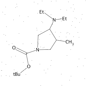 CCN(CC)C1CN(C(=O)OC(C)(C)C)CC1C